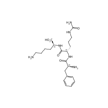 NCCCC[C@H](NC(=O)[C@H](CCCNC(N)=O)NC(=O)[C@@H](N)Cc1ccccc1)C(=O)O